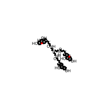 C[C@H](CCC(=O)NCCCN(CCCNC(=O)CC[C@@H](C)[C@H]1CC[C@H]2[C@@H]3[C@@H](O)C[C@@H]4C[C@H](O)CC[C@]4(C)[C@H]3CC[C@]12C)CCCNC(=O)CC[C@@H](C)[C@H]1CC[C@H]2[C@@H]3[C@@H](O)C[C@@H]4C[C@H](O)CC[C@]4(C)[C@H]3CC[C@]12C)[C@H]1CC[C@H]2[C@@H]3[C@@H](O)C[C@@H]4C[C@H](O)CC[C@]4(C)[C@H]3CC[C@]12C